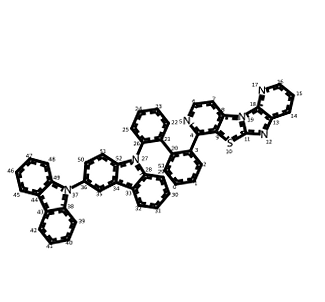 c1ccc(-c2nccc3c2sc2nc4cccnc4n23)c(-c2ccccc2-n2c3ccccc3c3cc(-n4c5ccccc5c5ccccc54)ccc32)c1